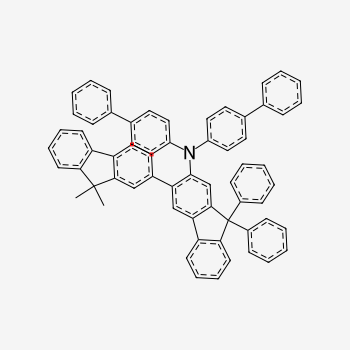 CC1(C)c2ccccc2-c2ccc(-c3cc4c(cc3N(c3ccc(-c5ccccc5)cc3)c3ccc(-c5ccccc5)cc3)C(c3ccccc3)(c3ccccc3)c3ccccc3-4)cc21